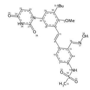 COc1c(C=Cc2ccc(NS(C)(=O)=O)cc2C=NO)cc(-n2ccc(=O)[nH]c2=O)cc1C(C)(C)C